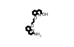 Nc1ccc2cccc(OCCCOc3cccc4ccc(O)nc34)c2n1